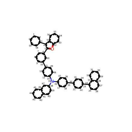 c1ccc(-c2c(-c3cccc(-c4ccc(N(c5ccc(-c6ccc(-c7cccc8ccccc78)cc6)cc5)c5ccc6ccccc6c5)cc4)c3)oc3ccccc23)cc1